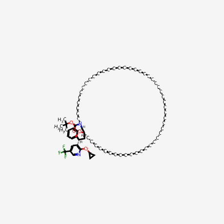 CC(C)(C)OC(=O)N1CCCCCCCCCCCCCCCCCCCCCCCCCCCCCCCCCCCCCCCCCCCCCCCCC[C@@]2(C[C@H](c3cc(C(F)(F)F)cnc3OC3CC3)CO2)[C@@H]1c1ccccc1